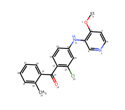 CCOc1ccncc1Nc1ccc(C(=O)c2ccccc2C)c(Cl)c1